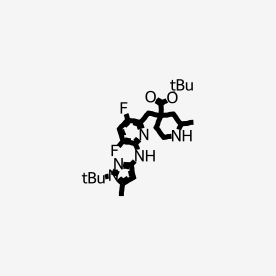 Cc1cc(Nc2nc(CC3(C(=O)OC(C)(C)C)CCNC(C)C3)c(F)cc2F)nn1C(C)(C)C